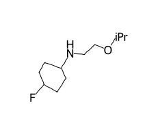 CC(C)OCCNC1CCC(F)CC1